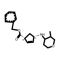 CC1COCCC1N[C@@H]1C=C[C@H](C(=O)OCc2ccccc2)C1